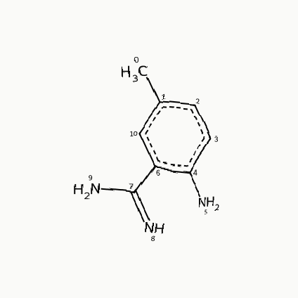 Cc1ccc(N)c(C(=N)N)c1